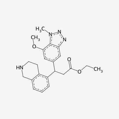 CCOC(=O)CC(c1cc(OC)c2c(c1)nnn2C)c1cccc2c1CCNC2